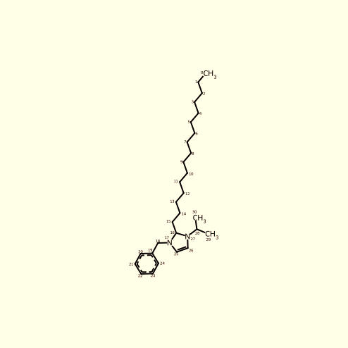 CCCCCCCCCCCCCCCCC1N(Cc2ccccc2)C=CN1C(C)C